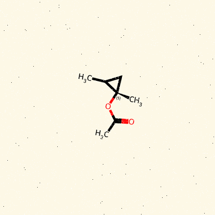 CC(=O)O[C@@]1(C)CC1C